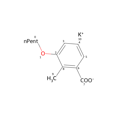 CCCCCOc1cccc(C(=O)[O-])c1C.[K+]